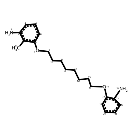 Cc1c(N)cccc1OCCCCCCCCOc1ccccc1N